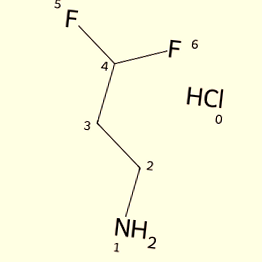 Cl.NCCC(F)F